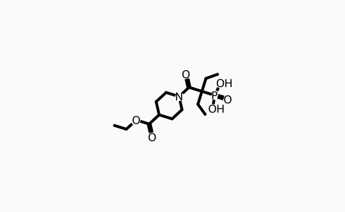 CCOC(=O)C1CCN(C(=O)C(CC)(CC)P(=O)(O)O)CC1